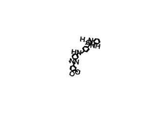 COc1ccc(-c2nc3cc(NCc4ccc(C(=O)Nc5ccccc5N)cc4)ccc3n2C)cc1OC